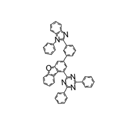 c1ccc(-c2nc(-c3ccccc3)nc(-c3cc(-c4cccc(-c5nc6ccccc6n5-c5ccccc5)c4)cc4oc5ccccc5c34)n2)cc1